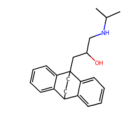 CC(C)NCC(O)CC12CCC(c3ccccc31)c1ccccc12